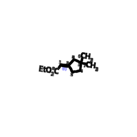 CCOC(=O)/C=C1\CCC(C)(C)C1